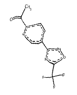 CC(=O)c1ccc(-c2noc(C(F)(F)F)n2)cn1